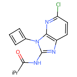 CC(C)C(=O)Nc1nc2ccc(Cl)nc2n1C1=CC=C1